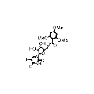 COc1cc(OC)c(C(=O)OC[C@H]2O[C@@H](n3cc(F)c(=O)[nH]c3=O)[C@H](O)[C@@H]2O)c(OC)c1